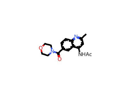 CC(=O)Nc1cc(C)nc2ccc(C(=O)N3CCOCC3)cc12